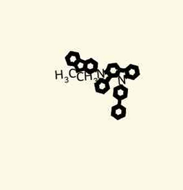 CC1(C)c2ccccc2-c2ccc(-n3c4ccccc4c4c3ccc3c5ccccc5n(-c5ccc(-c6ccccc6)cc5)c34)cc21